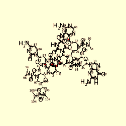 Cc1cn(C2CN(P(=O)(OC[C@@H]3CN(P(=O)(OC[C@@H]4CN(P(=O)(OC[C@@H]5CN(P(=O)(OC[C@@H]6CNC[C@H](n7cnc8c(=O)[nH]c(N)nc87)O6)N(C)C)C[C@H](n6cnc7c(N)ncnc76)O5)N(C)C)CC(n5cc(C)c(=O)[nH]c5=O)O4)N(C)C)C[C@H](n4ccc(N)nc4=O)O3)N(C)C)C[C@@H](COP(=O)(C(C)C)N(C)C)O2)c(=O)[nH]c1=O